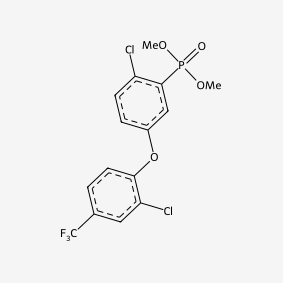 COP(=O)(OC)c1cc(Oc2ccc(C(F)(F)F)cc2Cl)ccc1Cl